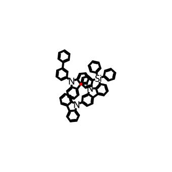 c1ccc(-c2cccc(-n3c4ccccc4c4c(-n5c6cc(-n7c8ccccc8c8ccccc87)ccc6c6cccc([Si](c7ccccc7)(c7ccccc7)c7ccccc7)c65)cccc43)c2)cc1